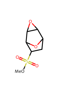 COS(=O)(=O)C1CC2OC1C1OC21